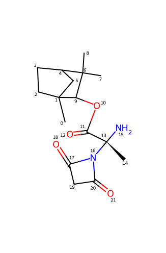 CC12CCC(C1)C(C)(C)C2OC(=O)[C@](C)(N)N1C(=O)CC1=O